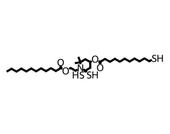 CCCCCCCCCCCC(=O)OCCN1C(C)(C)CC(OC(=O)CCCCCCCCCCS)CC1(S)S